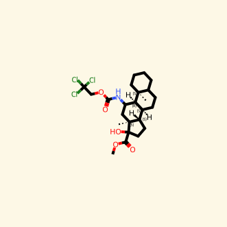 COC(=O)C1(O)CC[C@H]2[C@@H]3CCC4CCCC[C@]4(C)[C@@H]3C(NC(=O)OCC(Cl)(Cl)Cl)C[C@@]21C